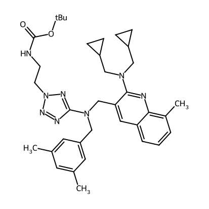 Cc1cc(C)cc(CN(Cc2cc3cccc(C)c3nc2N(CC2CC2)CC2CC2)c2nnn(CCNC(=O)OC(C)(C)C)n2)c1